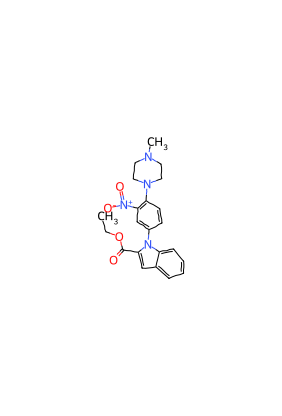 CCOC(=O)c1cc2ccccc2n1-c1ccc(N2CCN(C)CC2)c([N+](=O)[O-])c1